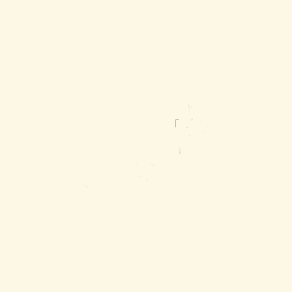 C=CCCCCc1ccc(C2CC=C(c3ccc(C)c(F)c3F)CC2)cc1